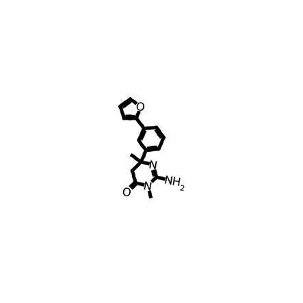 CN1C(=O)CC(C)(c2cccc(-c3ccco3)c2)N=C1N